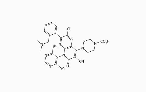 CC(C)c1ncnc(C(C)C)c1-n1c(=O)c(C#N)c(N2CCN(C(=O)O)CC2)c2cc(Cl)c(-c3ccccc3CN(C)C)nc21